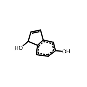 Oc1ccc2c(c1)C=CC2O